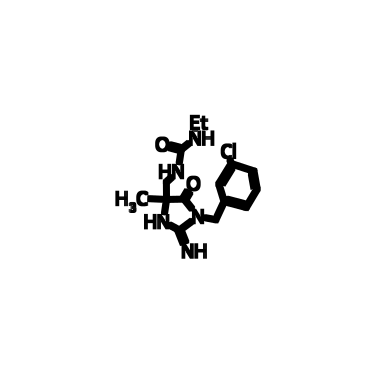 CCNC(=O)NCC1(C)NC(=N)N(Cc2cccc(Cl)c2)C1=O